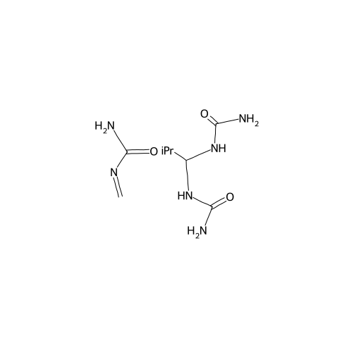 C=NC(N)=O.CC(C)C(NC(N)=O)NC(N)=O